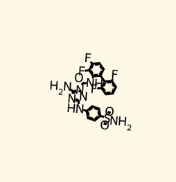 Nc1nc(Nc2ccc(S(N)(=O)=O)cc2)nn1C(=O)Nc1c(-c2c(F)cccc2F)ccc(F)c1F